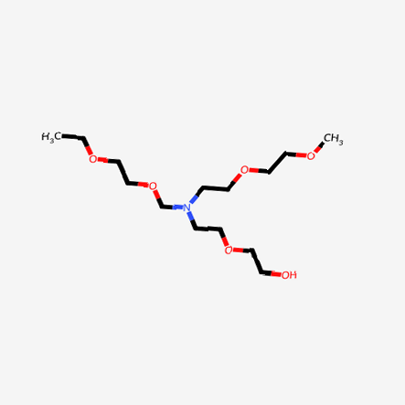 CCOCCOCN(CCOCCO)CCOCCOC